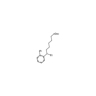 CCCCCCCCCCCCCCCC(CC)c1ccccc1C(C)C